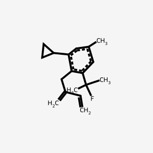 C=CC(=C)Cc1c(C2CC2)cc(C)cc1C(C)(C)F